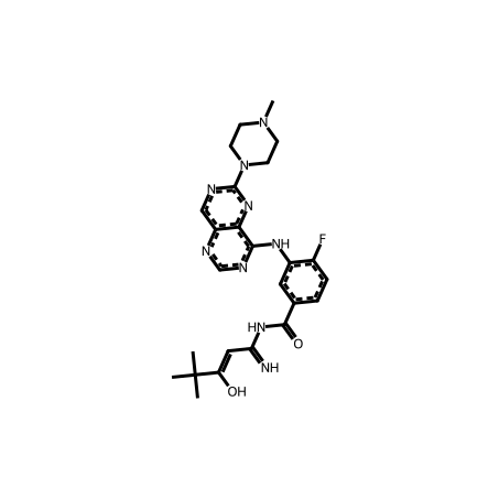 CN1CCN(c2ncc3ncnc(Nc4cc(C(=O)NC(=N)/C=C(\O)C(C)(C)C)ccc4F)c3n2)CC1